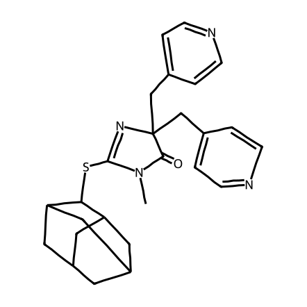 CN1C(=O)C(Cc2ccncc2)(Cc2ccncc2)N=C1SC1C2CC3CC(C2)CC1C3